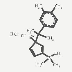 Cc1ccc(C(C)(C)[C]2([Ti+3])C=CC([Si](C)(C)C)=C2)cc1C.[Cl-].[Cl-].[Cl-]